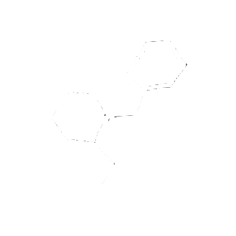 FCC1CCCCN1Cc1ccccc1